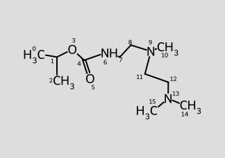 CC(C)OC(=O)NCCN(C)CCN(C)C